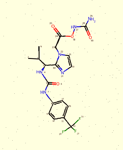 CC(C)[C@H](NC(=O)Nc1ccc(C(F)(F)F)cc1)c1nccn1CC(=O)ONC(N)=O